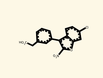 O=C(O)Cc1cccc(-c2c([N+](=O)[O-])oc3cc(Cl)ccc23)c1